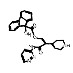 O=C(Nc1cccnn1)C(COC(=O)C1(O)c2ccccc2-c2ccccc21)C1CCNCC1